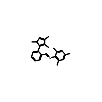 CC1=CC(C)C(c2ccccc2/C=N/c2c(C)cc(C)cc2C)=C1C